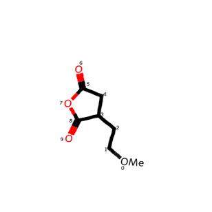 COCCC1CC(=O)OC1=O